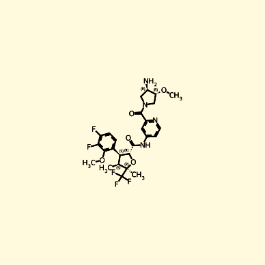 COc1c([C@H]2[C@H](C(=O)Nc3ccnc(C(=O)N4C[C@@H](N)[C@H](OC)C4)c3)O[C@@](C)(C(F)(F)F)[C@H]2C)ccc(F)c1F